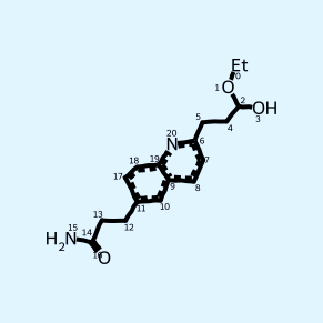 CCOC(O)CCc1ccc2cc(CCC(N)=O)ccc2n1